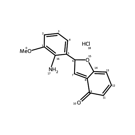 COc1cccc(C2C=C3C(=O)C=CC=C3O2)c1N.Cl